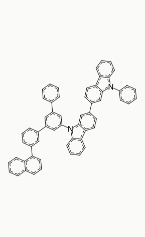 c1ccc(-c2cc(-c3cccc(-c4cccc5ccccc45)c3)cc(-n3c4ccccc4c4ccc(-c5ccc6c7ccccc7n(-c7ccccc7)c6c5)cc43)c2)cc1